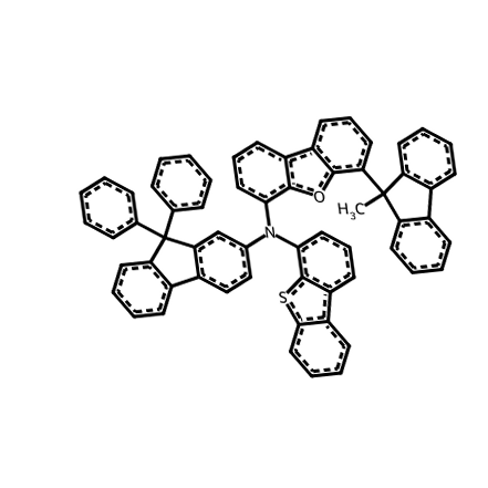 CC1(c2cccc3c2oc2c(N(c4ccc5c(c4)C(c4ccccc4)(c4ccccc4)c4ccccc4-5)c4cccc5c4sc4ccccc45)cccc23)c2ccccc2-c2ccccc21